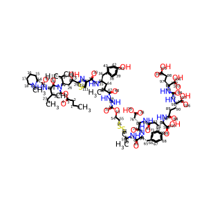 CCCC(=O)OCN(C(=O)[C@@H](NC(=O)[C@H]1CCCCN1C)C(C)CC)[C@H](C[C@@H](O)c1nc(C(=O)N[C@@H](Cc2ccc(O)cc2)C[C@H](C)C(=O)NNC(=O)OCCSSC[C@H](C)NC(=O)[C@@H](Cc2ccccc2)NC(=O)[C@H](CC(=O)O)NC(=O)CC[C@H](NC(=O)CC[C@H](NC(=O)N[C@@H](CCC(=O)O)C(=O)O)C(=O)O)C(=O)O)cs1)C(C)C